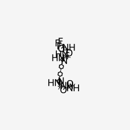 CCC(=O)NC(C)(C)C(=O)N[C@H](c1nc(-c2ccc(-c3ccc(-c4c[nH]c([C@@H](NC(=O)C(C)(C)NC(=O)CC(F)(F)F)C(C)(C)C)n4)cc3)cc2)c[nH]1)C(C)(C)C